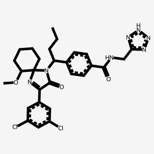 CCCC(c1ccc(C(=O)NCc2nn[nH]n2)cc1)N1C(=O)C(c2cc(Cl)cc(Cl)c2)=NC12CCCCC2OC